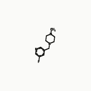 CN1CCN(Cc2cncc(F)c2)CC1